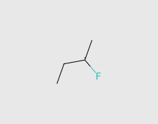 CC[C](C)F